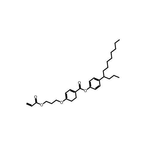 C=CC(=O)OCCCOC1=CC=C(C(=O)Oc2ccc(C(CCC)CCCCCCCC)cc2)CC1